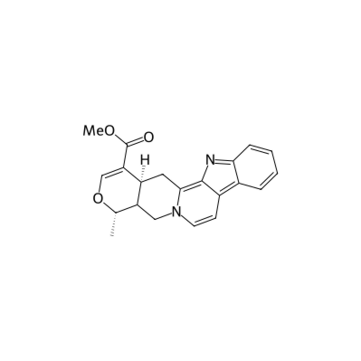 COC(=O)C1=CO[C@@H](C)C2Cn3ccc4c5ccccc5nc-4c3C[C@H]12